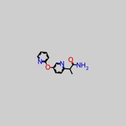 CC(C(N)=O)c1ccc(Oc2ccccn2)cn1